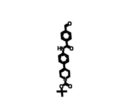 CC(C)(C)OC(=O)N1CC=C(c2ccc(NC(=O)c3ccc(C=O)cc3)cc2)CC1